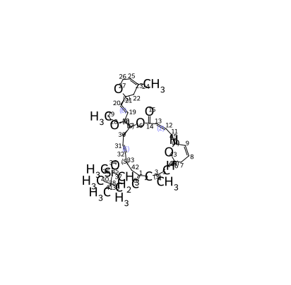 C=C1C[C@H](C)C[C@@H]2CC=C[C@@H](C/C=C\C(=O)O[C@H]([C@H](/C=C/[C@@H]3CC(C)=CCO3)OC)C/C=C/[C@@H](O[Si](C)(C)C(C)(C)C)C1)O2